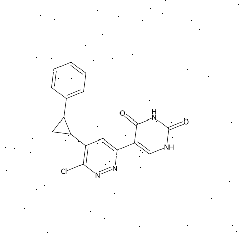 O=c1[nH]cc(-c2cc(C3CC3c3ccccc3)c(Cl)nn2)c(=O)[nH]1